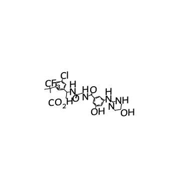 CC(C)(c1cc(Cl)cc(C(CC(=O)O)NC(=O)CNC(=O)c2cc(O)cc(NC3=NCC(O)CN3)c2)c1)C(F)(F)F